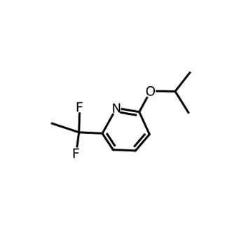 CC(C)Oc1cccc(C(C)(F)F)n1